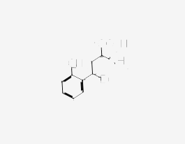 CCC(CC(N)C(=O)O)c1ccccc1C